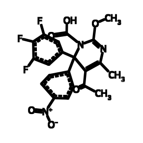 COC1=NC(C)=C(C(C)=O)C(c2ccc([N+](=O)[O-])cc2)(c2cc(F)c(F)c(F)c2)N1C(=O)O